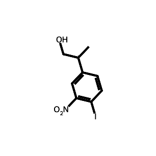 C[C](CO)c1ccc(I)c([N+](=O)[O-])c1